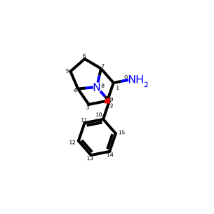 NC1CCC2CCC1N2Cc1ccccc1